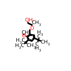 COc1c(COC(C)CO)cc(C(C)(C)C)cc1C(C)(C)C